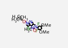 COc1cc(OC)c(F)c(N2Cc3cnc4c(c(Br)cn4COCC[Si](C)(C)C)c3N(C)C2=O)c1F